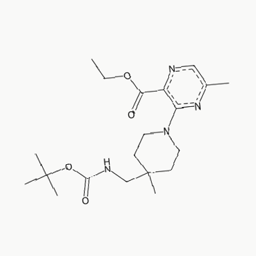 CCOC(=O)c1ncc(C)nc1N1CCC(C)(CNC(=O)OC(C)(C)C)CC1